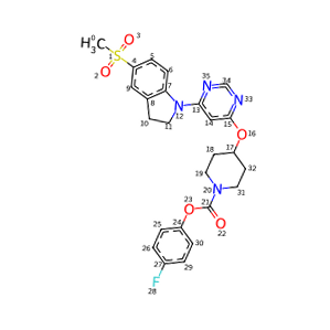 CS(=O)(=O)c1ccc2c(c1)CCN2c1cc(OC2CCN(C(=O)Oc3ccc(F)cc3)CC2)ncn1